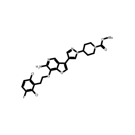 CC(C)(C)OC(=O)N1CCC(n2cc(-c3coc4c(OCCc5c(Cl)ccc(F)c5Cl)c(N)ncc34)cn2)CC1